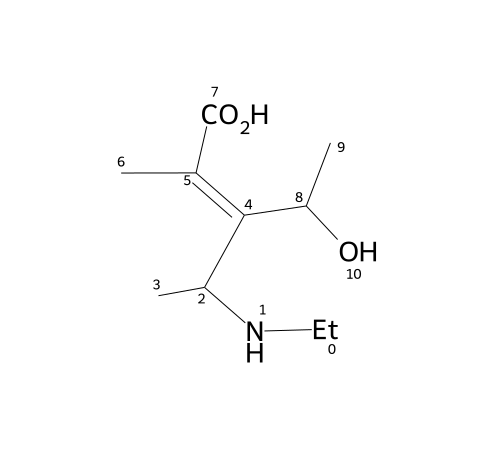 CCNC(C)C(=C(C)C(=O)O)C(C)O